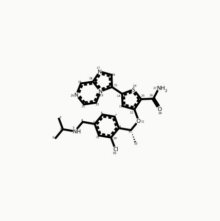 CC(C)NCc1ccc([C@@H](C)Oc2cc(-c3cnc4cnccn34)sc2C(N)=O)c(Cl)c1